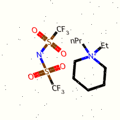 CCC[N+]1(CC)CCCCC1.O=S(=O)([N-]S(=O)(=O)C(F)(F)F)C(F)(F)F